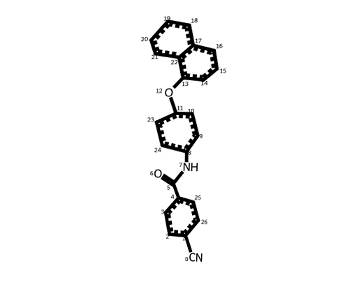 N#Cc1ccc(C(=O)Nc2ccc(Oc3cccc4ccccc34)cc2)cc1